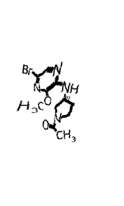 COc1nc(Br)cnc1N[C@@H]1CCN(C(C)=O)C1